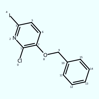 Clc1nc(I)ccc1OCc1ccccc1